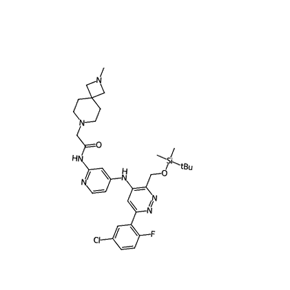 CN1CC2(CCN(CC(=O)Nc3cc(Nc4cc(-c5cc(Cl)ccc5F)nnc4CO[Si](C)(C)C(C)(C)C)ccn3)CC2)C1